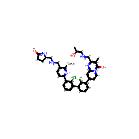 COc1nc(-c2cccc(-c3cccc(-c4ccn5c(=O)c(C)c(CNCC(C)O)nc5c4)c3Cl)c2Cl)ccc1CNCC1CCC(=O)N1